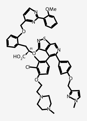 COc1ccccc1-c1nccc(COc2ccccc2C[C@@H](Oc2nsc3cnc(-c4ccc(OCc5ccn(C)n5)cc4)c(-c4ccc(OCCN5CCN(C)CC5)c(Cl)c4C)c23)C(=O)O)n1